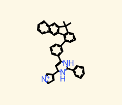 CC1(C)c2cc3ccccc3cc2-c2c(-c3cccc(C4=CC(C5=CC=[N+]=C5)NC(c5ccccc5)N4)c3)cccc21